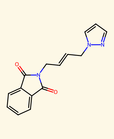 O=C1c2ccccc2C(=O)N1CC=CCn1cccn1